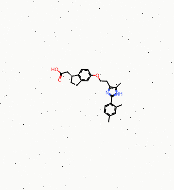 Cc1ccc(-c2nc(CCOc3ccc4c(c3)CC[C@H]4CC(=O)O)c(C)[nH]2)c(C)c1